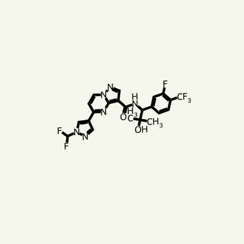 CC(C)(O)C(NC(=O)c1cnn2ccc(-c3cnn(C(F)F)c3)nc12)c1ccc(C(F)(F)F)c(F)c1